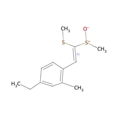 CCc1ccc(/C=C(\SC)[S+](C)[O-])c(C)c1